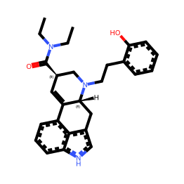 CCN(CC)C(=O)[C@@H]1C=C2c3cccc4[nH]cc(c34)C[C@H]2N(CCc2ccccc2O)C1